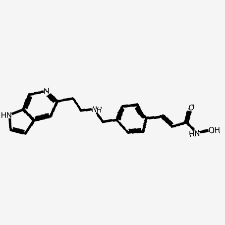 O=C(/C=C/c1ccc(CNCCc2cc3cc[nH]c3cn2)cc1)NO